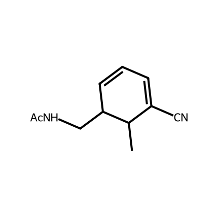 CC(=O)NCC1C=CC=C(C#N)C1C